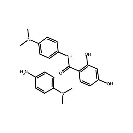 CN(C)c1ccc(N)cc1.CN(C)c1ccc(NC(=O)c2ccc(O)cc2O)cc1